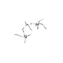 CC(C)(C[Si](C)(C)C)C[Si](C)(C)C